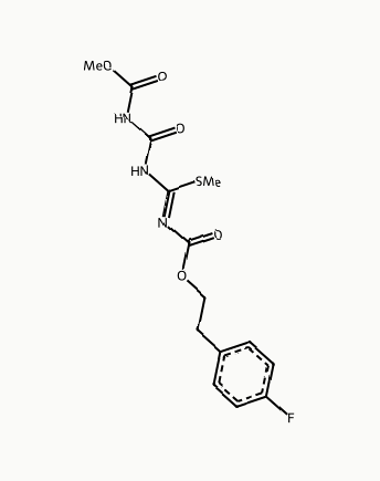 COC(=O)NC(=O)N/C(=N/C(=O)OCCc1ccc(F)cc1)SC